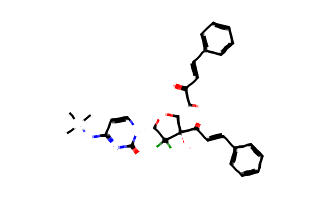 C[Si](C)(C)Nc1ccn([C@@H]2O[C@H](C(O)C(=O)C=Cc3ccccc3)[C@](O)(C(=O)C=Cc3ccccc3)C2(F)F)c(=O)n1